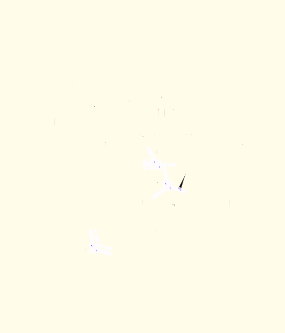 Cc1cc(N2C[C@H]3CC[C@@H](C2)[C@@H]3NC(=O)OC(C)(C)C)c(F)cn1